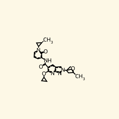 C[C@@H]1C[C@@H]1n1cccc(NC(=O)c2cc3cn(C45COC(C)(C4)C5)nc3nc2OC2CC2)c1=O